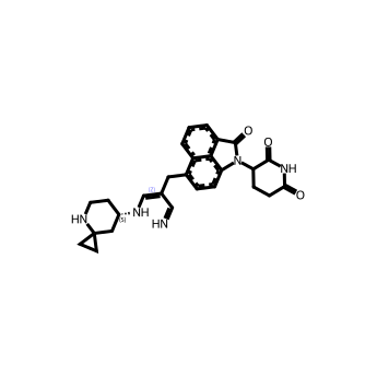 N=C/C(=C\N[C@H]1CCNC2(CC2)C1)Cc1ccc2c3c(cccc13)C(=O)N2C1CCC(=O)NC1=O